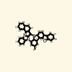 Cc1cc2c3c(c1)-n1c4ccccc4n4c5c(ccc6ccccc65)c(c14)B3c1ccc3c(oc4ccccc43)c1-2